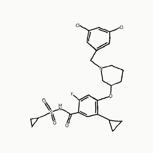 O=C(NS(=O)(=O)C1CC1)c1cc(C2CC2)c(OC2CCCN(Cc3cc(Cl)cc(Cl)c3)C2)cc1F